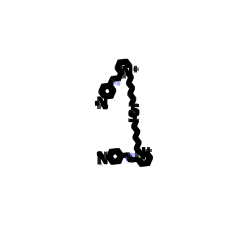 CN(C)c1ccc(/C=C/c2cccc[n+]2CCCCCCSSCCCCCC[n+]2ccccc2/C=C/c2ccc(N(C)C)cc2)cc1